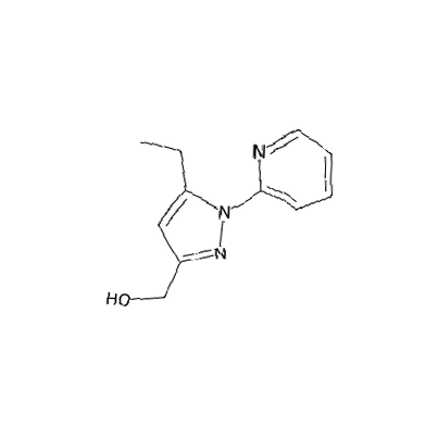 CCc1cc(CO)nn1-c1ccccn1